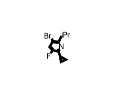 CC(C)c1nc(C2CC2)c(F)cc1Br